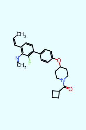 C=Nc1c(/C=C\C)ccc(-c2ccc(OC3CCN(C(=O)C4CCC4)CC3)cc2)c1F